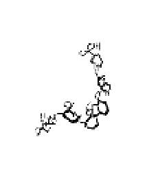 COc1nc(-c2cccc(-c3cccc(Oc4nccc5sc(CN6CCC[C@H](C(=O)O)C6)cc45)c3Cl)c2Cl)ccc1CN1CC2(CCC(=O)N2)C1